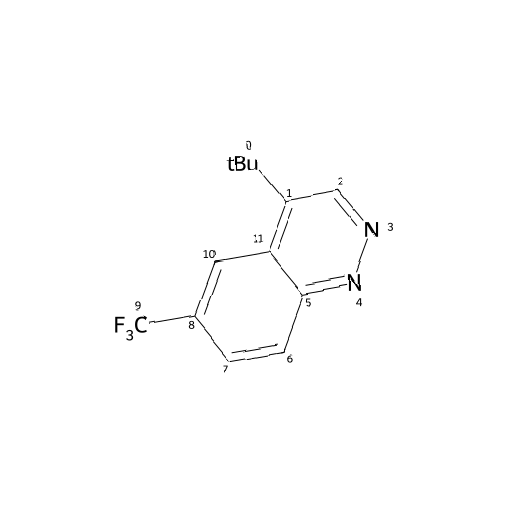 CC(C)(C)c1cnnc2ccc(C(F)(F)F)cc12